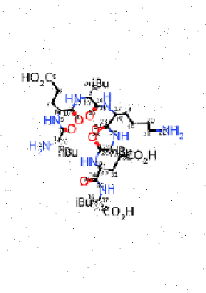 CC[C@H](C)[C@H](N)C(=O)N[C@@H](CCC(=O)O)C(=O)N[C@H](C(=O)N[C@@H](CCCCN)C(=O)N[C@H](C(=O)N[C@@H](CCC(=O)O)C(=O)N[C@H](C(=O)O)[C@@H](C)CC)[C@@H](C)CC)[C@@H](C)CC